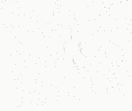 Fc1c(F)c(I)c(N(I)I)c(I)c1F